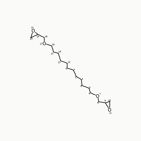 C(CCCCCCOCC1CO1)CCCCCOCC1CO1